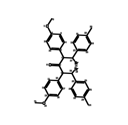 COc1ccc(C(C(=O)C(c2ccc(OC)cc2)C(Br)c2ccc(C)cc2)C(Br)c2ccc(C)cc2)cc1